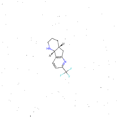 FC(F)(F)c1ccc2c(n1)C[C@H]1CCCN[C@@H]21